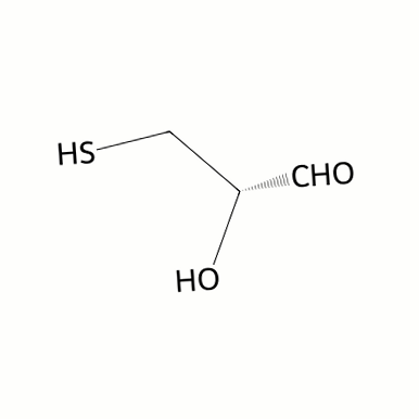 O=C[C@H](O)CS